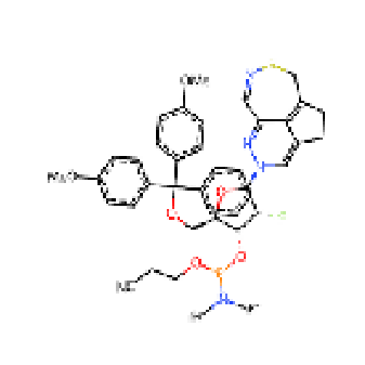 COc1ccc(C(OC[C@H]2O[C@@H](N3C=C4CCC5=C4C(=N3)C=NSC5)[C@H](F)[C@@H]2OP(OCCC#N)N(C(C)C)C(C)C)(c2ccccc2)c2ccc(OC)cc2)cc1